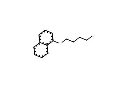 CCCCCNc1cccc2ccccc12